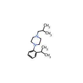 CC(C)CN1CCN(c2ccccc2C(C)C)CC1